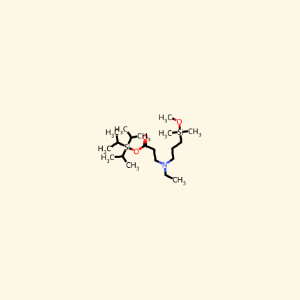 CCN(CCC[Si](C)(C)OC)CCC(=O)O[Si](C(C)C)(C(C)C)C(C)C